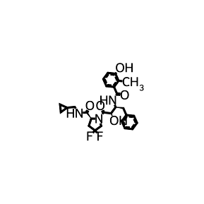 Cc1c(O)cccc1C(=O)N[C@@H](Cc1ccccc1)[C@H](O)C(=O)N1CC(F)(F)C[C@H]1C(=O)NCC1CC1